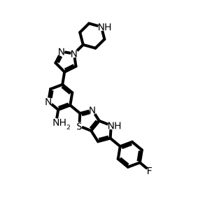 Nc1ncc(-c2cnn(C3CCNCC3)c2)cc1-c1nc2[nH]c(-c3ccc(F)cc3)cc2s1